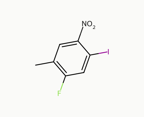 Cc1cc([N+](=O)[O-])c(I)cc1F